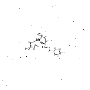 Cc1ccc(CCNc2ncc(C#N)c(NC3C[C@H](O)C3(C)C)n2)cn1